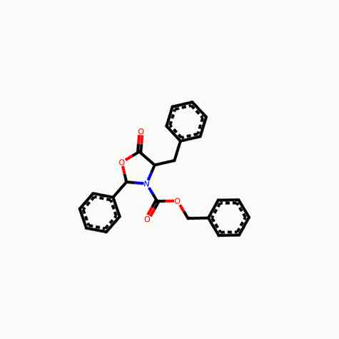 O=C1OC(c2ccccc2)N(C(=O)OCc2ccccc2)C1Cc1ccccc1